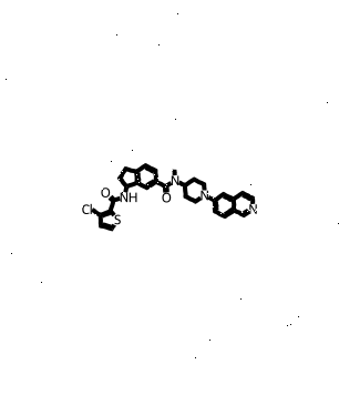 CN(C(=O)c1ccc2c(c1)C(NC(=O)c1sccc1Cl)CC2)C1CCN(c2ccc3cnccc3c2)CC1